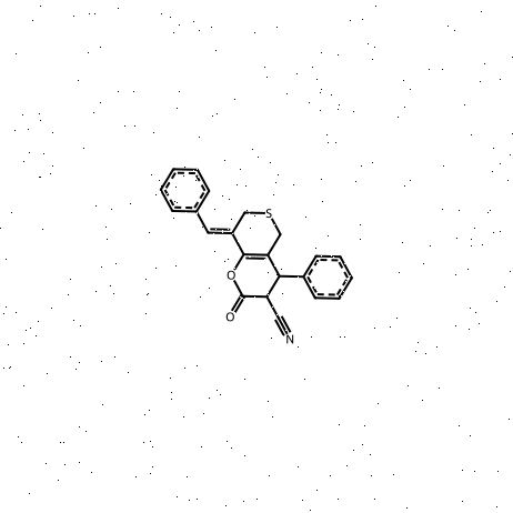 N#CC1C(=O)OC2=C(CSCC2=Cc2ccccc2)C1c1ccccc1